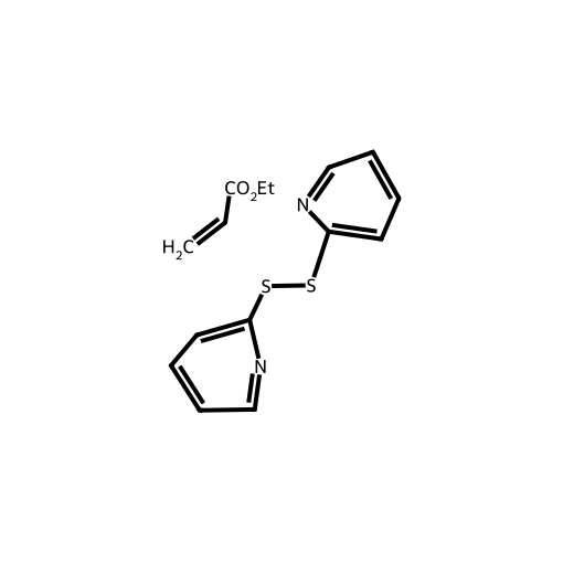 C=CC(=O)OCC.c1ccc(SSc2ccccn2)nc1